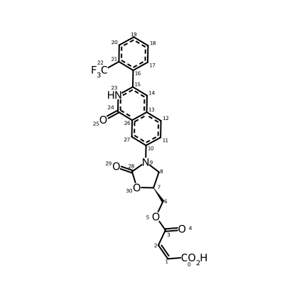 O=C(O)/C=C\C(=O)OC[C@@H]1CN(c2ccc3cc(-c4ccccc4C(F)(F)F)[nH]c(=O)c3c2)C(=O)O1